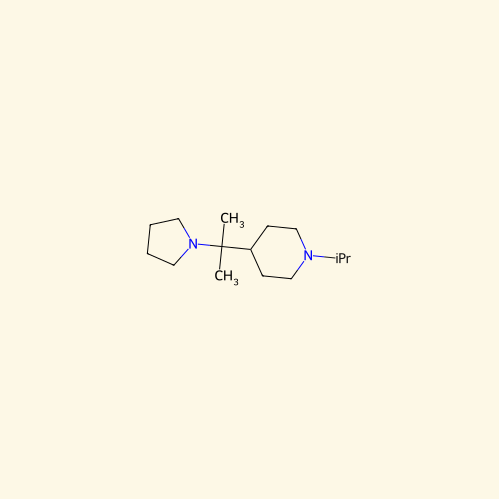 CC(C)N1CCC(C(C)(C)N2CCCC2)CC1